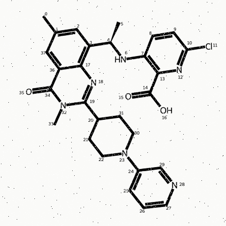 Cc1cc([C@@H](C)Nc2ccc(Cl)nc2C(=O)O)c2nc(C3CCN(c4cccnc4)CC3)n(C)c(=O)c2c1